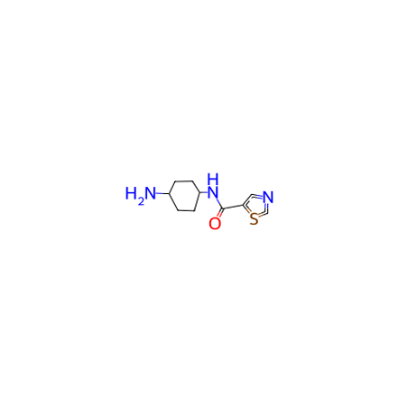 NC1CCC(NC(=O)c2cncs2)CC1